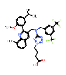 COc1ccc(C(C)C)cc1-c1nc2c(C)cccc2cc1CN(Cc1cc(C(F)(F)F)cc(C(F)(F)F)c1)c1nnn(CCCC(=O)O)n1